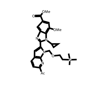 COC(=O)c1cc(OC)c2c(c1)nc(-c1cc3ccc(C(C)=O)nc3n1COCC[Si](C)(C)C)n2C1CC1